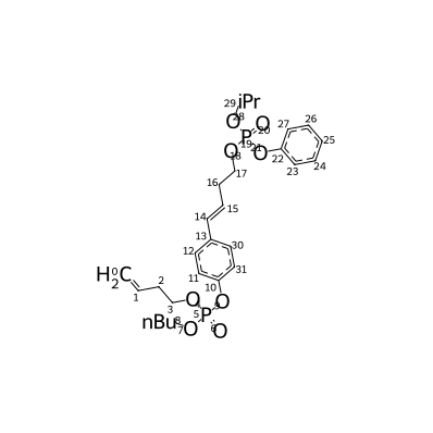 C=CCCOP(=O)(OCCCC)Oc1ccc(C=CCCOP(=O)(Oc2ccccc2)OC(C)C)cc1